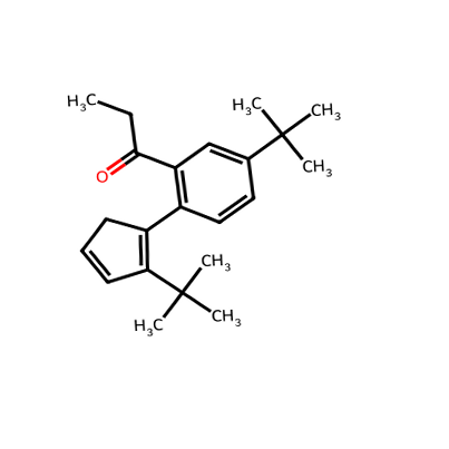 CCC(=O)c1cc(C(C)(C)C)ccc1C1=C(C(C)(C)C)C=CC1